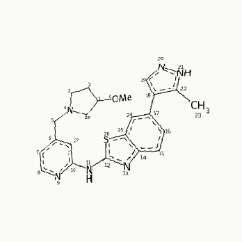 COC1CCN(Cc2ccnc(Nc3nc4ccc(-c5cn[nH]c5C)cc4s3)c2)C1